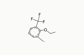 [CH2]c1cccc(C(F)(F)F)c1OCC